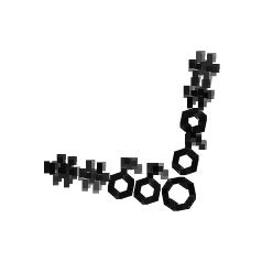 C1=C\CC/C=C\CC/1.F[P-](F)(F)(F)(F)F.F[P-](F)(F)(F)(F)F.F[P-](F)(F)(F)(F)F.F[P-](F)(F)(F)(F)F.PC1CCCCC1.PC1CCCCC1.PC1CCCCC1.[Ir+4].c1ccncc1